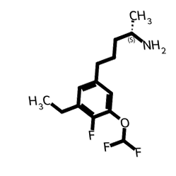 CCc1cc(CCC[C@H](C)N)cc(OC(F)F)c1F